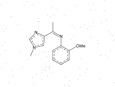 COc1ccccc1N=C(C)c1cn(C)cn1